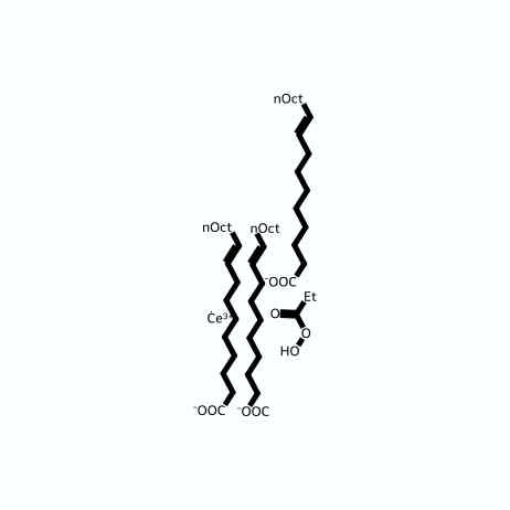 CCC(=O)OO.CCCCCCCCC=CCCCCCCCC(=O)[O-].CCCCCCCCC=CCCCCCCCC(=O)[O-].CCCCCCCCC=CCCCCCCCC(=O)[O-].[Ce+3]